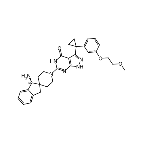 COCCOc1cccc(C2(c3n[nH]c4nc(N5CCC6(CC5)Cc5ccccc5[C@H]6N)[nH]c(=O)c34)CC2)c1